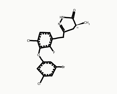 C[C@H]1CC(Cc2ccc(Cl)c(Oc3cc(Cl)cc(Br)c3)c2F)=NNC1=O